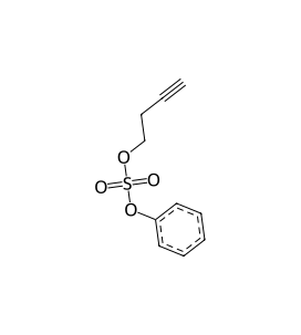 C#CCCOS(=O)(=O)Oc1ccccc1